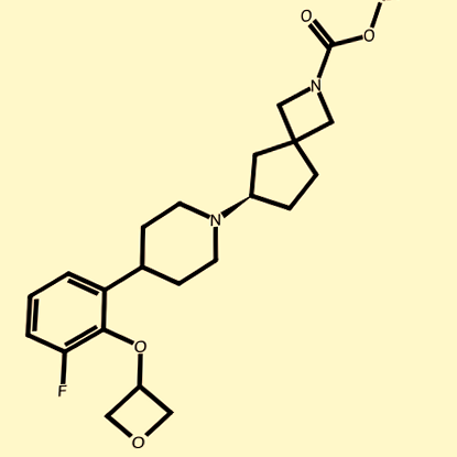 CC(C)(C)OC(=O)N1CC2(CC[C@@H](N3CCC(c4cccc(F)c4OC4COC4)CC3)C2)C1